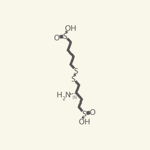 N[C@@H](CCS(=O)O)CSSCCCCS(=O)O